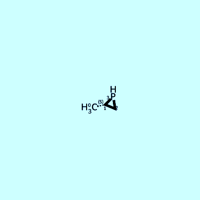 C[C@H]1CP1